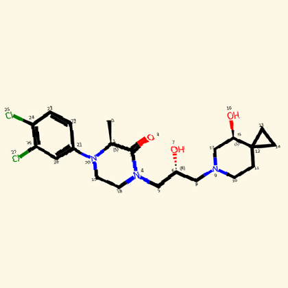 C[C@H]1C(=O)N(C[C@H](O)CN2CCC3(CC3)[C@H](O)C2)CCN1c1ccc(Cl)c(Cl)c1